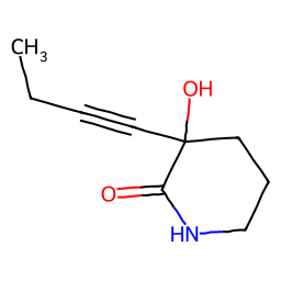 CCC#CC1(O)CCCNC1=O